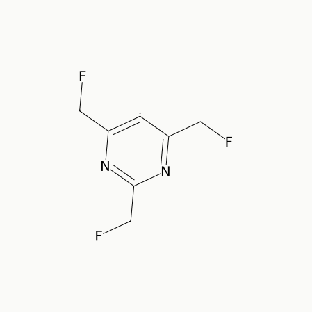 FCc1[c]c(CF)nc(CF)n1